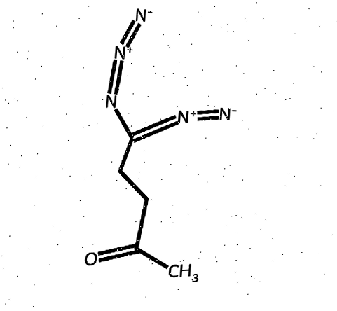 CC(=O)CCC(N=[N+]=[N-])=[N+]=[N-]